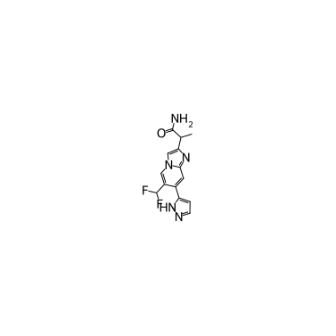 CC(C(N)=O)c1cn2cc(C(F)F)c(-c3ccn[nH]3)cc2n1